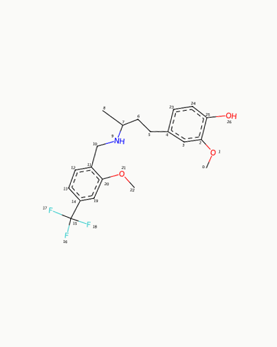 COc1cc(CCC(C)NCc2ccc(C(F)(F)F)cc2OC)ccc1O